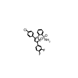 NS(=O)(=O)c1ccccc1-n1nc(-c2ccc(F)c(F)c2)cc1-c1ccc(Cl)cc1